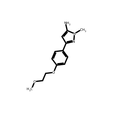 COCCOc1ccc(-c2cc(N)n(C)n2)cc1